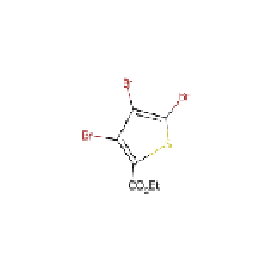 CCOC(=O)c1sc(Br)c(Br)c1Br